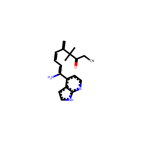 C=C(/C=C\C=C(/N)c1ccnc2[nH]ccc12)C(C)(C)C(=O)CC#N